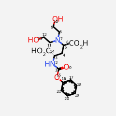 O=C(N[C@@H](CC(C(=O)O)N(CCO)CCO)C(=O)O)Oc1ccccc1